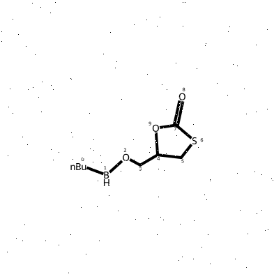 CCCCBOCC1CSC(=O)O1